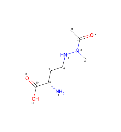 CC(=O)N(C)NCC[C@H](N)C(=O)O